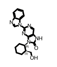 O=c1[nH]c2cnc(-n3cnc4ccccc43)nc2n1[C@@H]1CCCC[C@@H]1CO